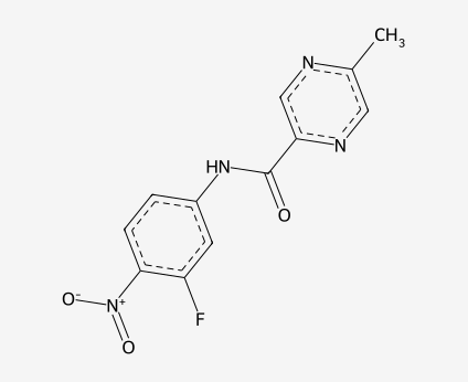 Cc1cnc(C(=O)Nc2ccc([N+](=O)[O-])c(F)c2)cn1